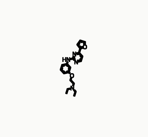 CCN(CC)CCOc1cccc(Nc2nccc(-c3ccco3)n2)c1